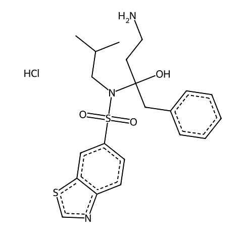 CC(C)CN(C(O)(CCN)Cc1ccccc1)S(=O)(=O)c1ccc2ncsc2c1.Cl